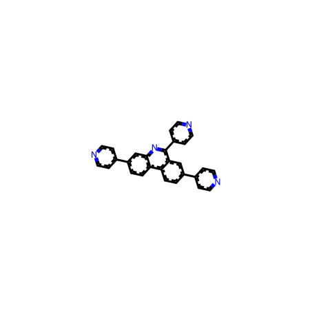 c1cc(-c2ccc3c(c2)nc(-c2ccncc2)c2cc(-c4ccncc4)ccc23)ccn1